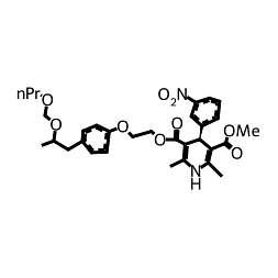 CCCOCOC(C)Cc1ccc(OCCOC(=O)C2=C(C)NC(C)=C(C(=O)OC)[C@@H]2c2cccc([N+](=O)[O-])c2)cc1